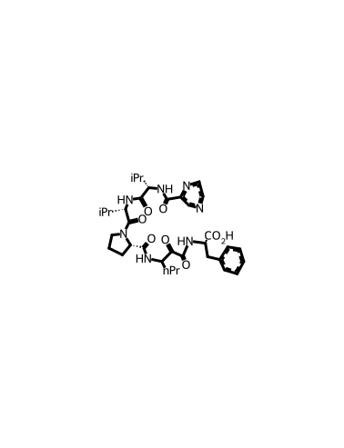 CCCC(NC(=O)[C@@H]1CCCN1C(=O)[C@@H](NC(=O)[C@@H](NC(=O)c1cnccn1)C(C)C)C(C)C)C(=O)C(=O)N[C@@H](Cc1ccccc1)C(=O)O